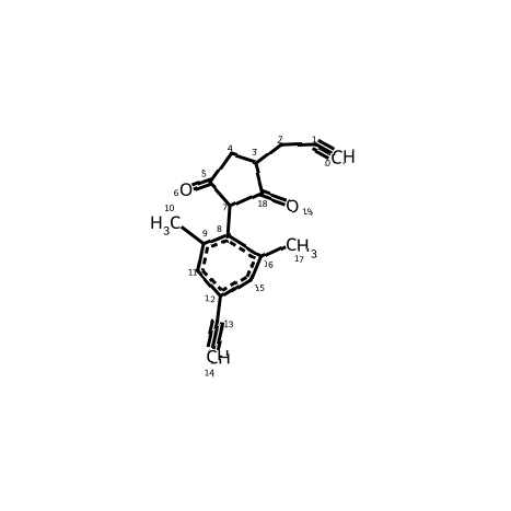 C#CCC1CC(=O)C(c2c(C)cc(C#C)cc2C)C1=O